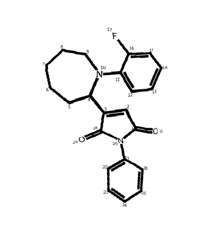 O=C1C=C(C2CCCCCN2c2ccccc2F)C(=O)N1c1ccccc1